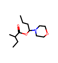 CCCC(OC(=O)C(C)CC)N1CCOCC1